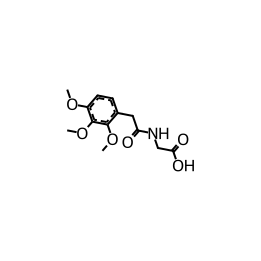 COc1ccc(CC(=O)NCC(=O)O)c(OC)c1OC